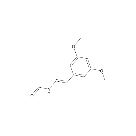 COc1cc(C=CNC=O)cc(OC)c1